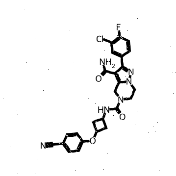 N#Cc1ccc(OC2CC(NC(=O)N3CCn4nc(-c5ccc(F)c(Cl)c5)c(C(N)=O)c4C3)C2)cc1